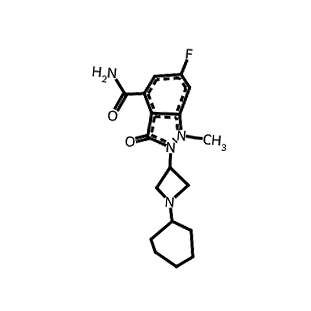 Cn1c2cc(F)cc(C(N)=O)c2c(=O)n1C1CN(C2CCCCC2)C1